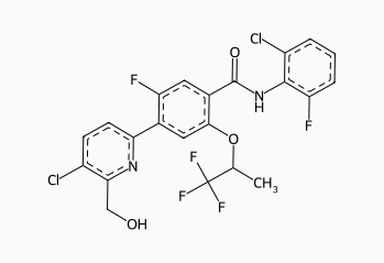 CC(Oc1cc(-c2ccc(Cl)c(CO)n2)c(F)cc1C(=O)Nc1c(F)cccc1Cl)C(F)(F)F